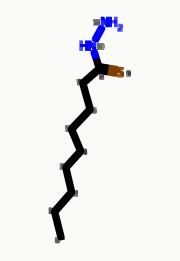 CCCCCCCCC(=S)NN